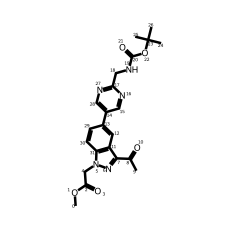 COC(=O)Cn1nc(C(C)=O)c2cc(-c3cnc(CNC(=O)OC(C)(C)C)nc3)ccc21